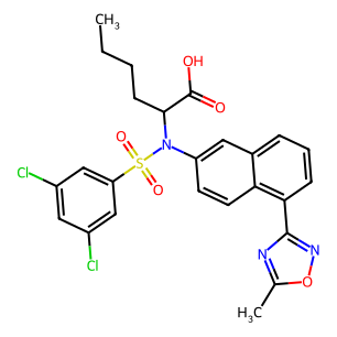 CCCCC(C(=O)O)N(c1ccc2c(-c3noc(C)n3)cccc2c1)S(=O)(=O)c1cc(Cl)cc(Cl)c1